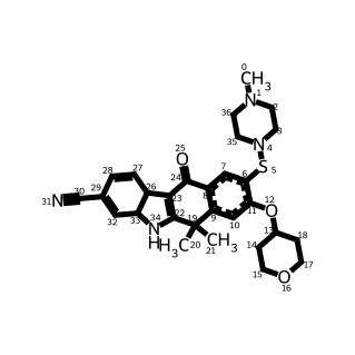 CN1CCN(Sc2cc3c(cc2OC2CCOCC2)C(C)(C)C2=C(C3=O)C3C=CC(C#N)=CC3N2)CC1